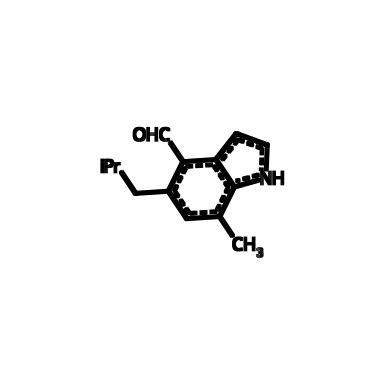 Cc1cc(CC(C)C)c(C=O)c2cc[nH]c12